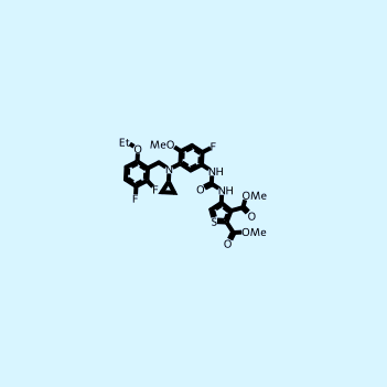 CCOc1ccc(F)c(F)c1CN(c1cc(NC(=O)Nc2csc(C(=O)OC)c2C(=O)OC)c(F)cc1OC)C1CC1